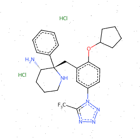 Cl.Cl.N[C@H]1CCCN[C@@]1(Cc1cc(-n2nnnc2C(F)(F)F)ccc1OC1CCCC1)c1ccccc1